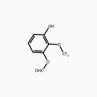 O=COc1cccc(O)c1OC(F)(F)F